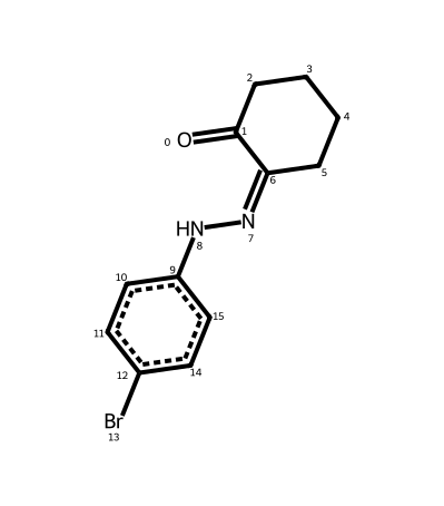 O=C1CCCCC1=NNc1ccc(Br)cc1